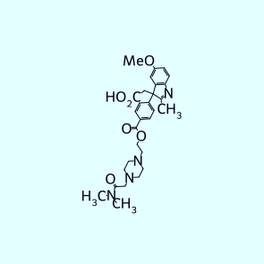 COc1ccc2c(c1)C(CC(=O)O)(c1ccc(C(=O)OCCN3CCN(CC(=O)N(C)C)CC3)cc1)C(C)=N2